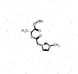 CCCCOC(=O)[C@@H](C)OC(=O)C[n+]1ccn(C)c1